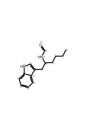 CCCCC(Cc1c[nH]c2ccccc12)NC=O